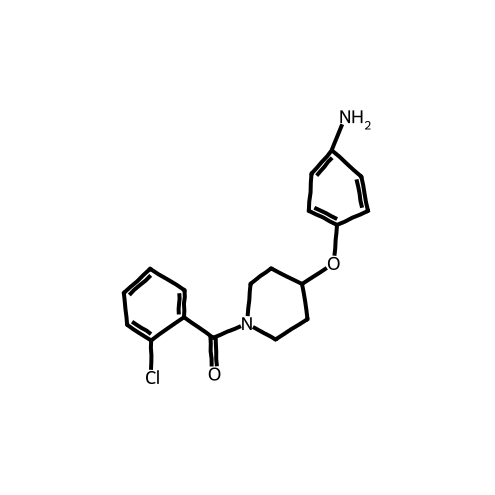 Nc1ccc(OC2CCN(C(=O)c3ccccc3Cl)CC2)cc1